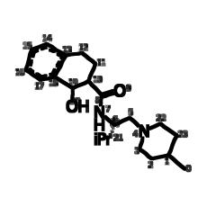 CC1CCN(C[C@@H](NC(=O)C2CCc3ccccc3C2O)C(C)C)CC1